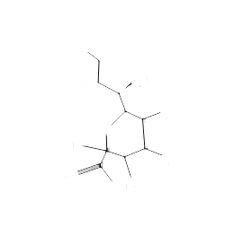 CC1C(O)C(F)C(O)(C(=O)O)OC1[C@H](O)[C@H](O)CO